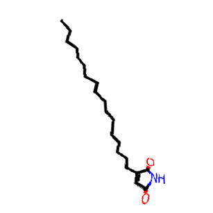 CCCCCCCCCCCCCCCCCC1=CC(=O)NC1=O